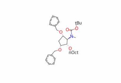 CCCCCCCCO[C@H]1[C@H](N(C)C(=O)OC(C)(C)C)[C@@H](OCc2ccccc2)C[C@H]1OCc1ccccc1